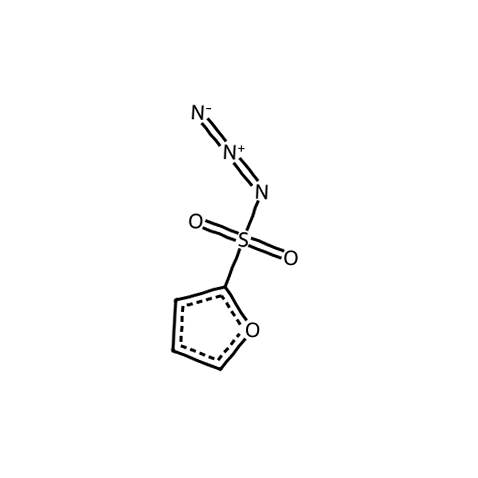 [N-]=[N+]=NS(=O)(=O)c1ccco1